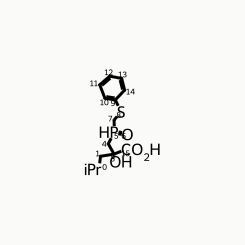 CC(C)CC(O)(C[PH](=O)CSc1ccccc1)C(=O)O